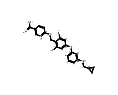 O=C(O)c1ccc(OCc2c(F)cc(Oc3cccc(OCC4CC4)c3)cc2F)nc1